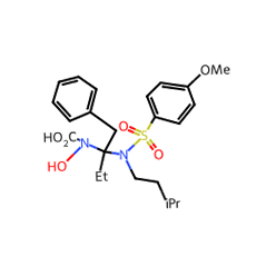 CCC(Cc1ccccc1)(N(O)C(=O)O)N(CCC(C)C)S(=O)(=O)c1ccc(OC)cc1